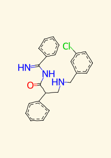 N=C(NC(=O)C(CNCc1cccc(Cl)c1)c1ccccc1)c1ccccc1